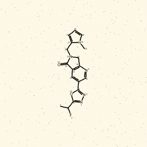 CC(F)c1nnc(-c2cnc3c(c2)C(=O)N(Cc2cccn2C)C3)o1